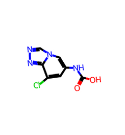 O=C(O)Nc1cc(Cl)c2nncn2c1